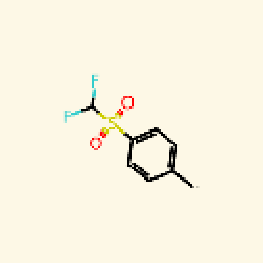 [CH2]c1ccc(S(=O)(=O)C(F)F)cc1